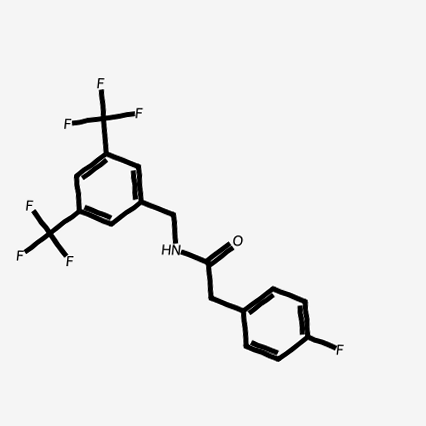 O=C(Cc1ccc(F)cc1)NCc1cc(C(F)(F)F)cc(C(F)(F)F)c1